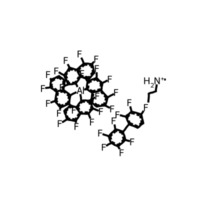 CCC[NH2+]C.Fc1ccc(-c2c(F)c(F)c(F)c(F)c2F)c(F)c1F.Fc1ccc2[c]([Al-]([c]3c(F)c(F)c(F)c4c(F)c(F)ccc34)([c]3c(F)c(F)c(F)c4c(F)c(F)ccc34)[c]3c(F)c(F)c(F)c4c(F)c(F)ccc34)c(F)c(F)c(F)c2c1F